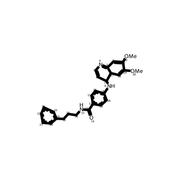 COC1=CC2=NC=CC(Nc3ccc(C(=O)NCCCc4ccccc4)cc3)C2C=C1OC